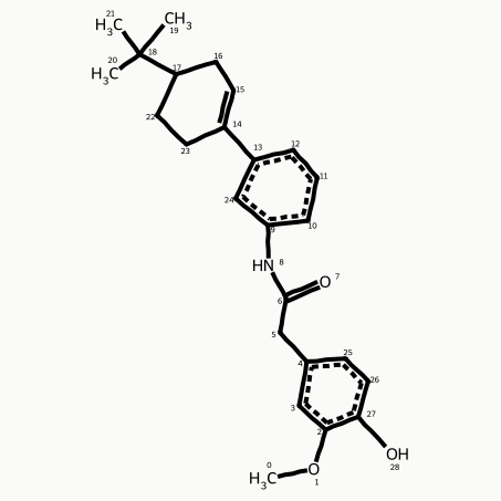 COc1cc(CC(=O)Nc2cccc(C3=CCC(C(C)(C)C)CC3)c2)ccc1O